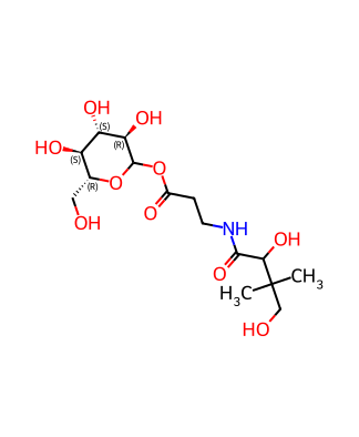 CC(C)(CO)C(O)C(=O)NCCC(=O)OC1O[C@H](CO)[C@@H](O)[C@H](O)[C@H]1O